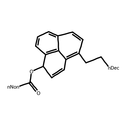 CCCCCCCCCCCCc1ccc2cccc3c2c1C=CC3OC(=O)CCCCCCCCC